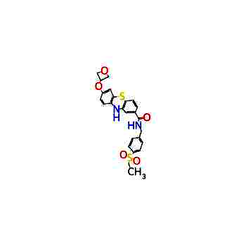 CCS(=O)(=O)c1ccc(CNC(=O)c2ccc3c(c2)Nc2ccc(OC4COC4)cc2S3)cc1